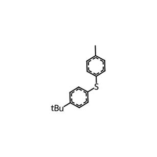 Cc1ccc(Sc2ccc(C(C)(C)C)cc2)cc1